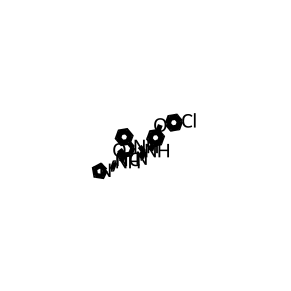 N#C/N=C(/Nc1ccc(Oc2ccc(Cl)cc2)cc1)NC(CC(=O)NCCN1CCCC1)c1ccccc1